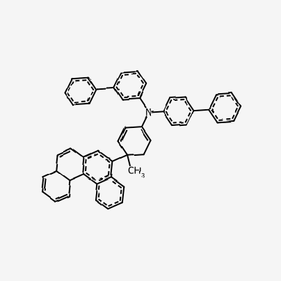 CC1(c2cc3c(c4ccccc24)C2C=CC=CC2C=C3)C=CC(N(c2ccc(-c3ccccc3)cc2)c2cccc(-c3ccccc3)c2)=CC1